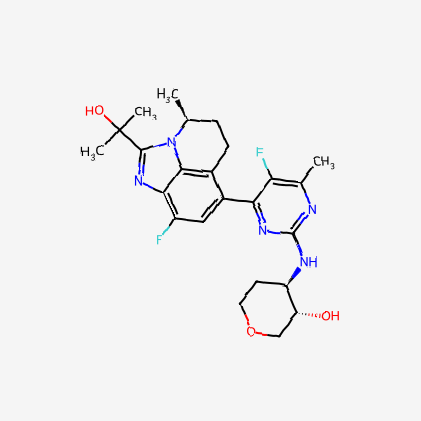 Cc1nc(N[C@@H]2CCOC[C@H]2O)nc(-c2cc(F)c3nc(C(C)(C)O)n4c3c2CC[C@@H]4C)c1F